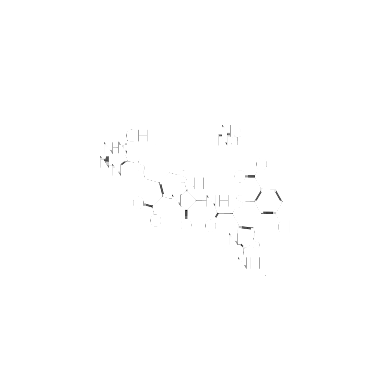 Cn1nnnc1SCC1=C(C(=O)[O-])N2C(=O)C(NC(=O)C(Sc3cc(Cl)ccc3C(=O)[O-])c3csc(N)n3)[C@@H]2SC1.[Na+].[Na+]